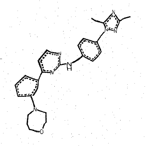 Cc1nc(C)n(-c2ccc(Nc3nccc(-c4cccc(N5CCOCC5)c4)n3)cc2)n1